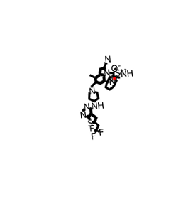 CN[S+]([O-])N1CC2CCC(C1)N2C(C)Cn1c(C#N)cc2c(C)c(CN3CCC(Nc4ncnc5sc(CC(F)(F)F)cc45)CC3)ccc21